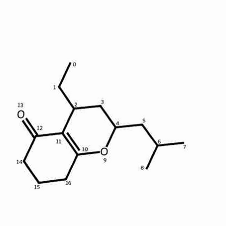 CCC1CC(CC(C)C)OC2=C1C(=O)CCC2